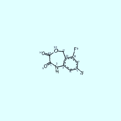 O=C1Nc2cc(F)cc(F)c2COC1=O